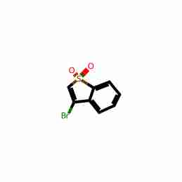 O=S1(=O)C=C(Br)c2ccccc21